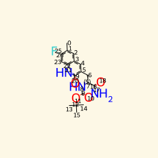 Cc1cc2cc(C[C@H](NC(=O)OC(C)(C)C)C(N)=O)c(=O)[nH]c2cc1F